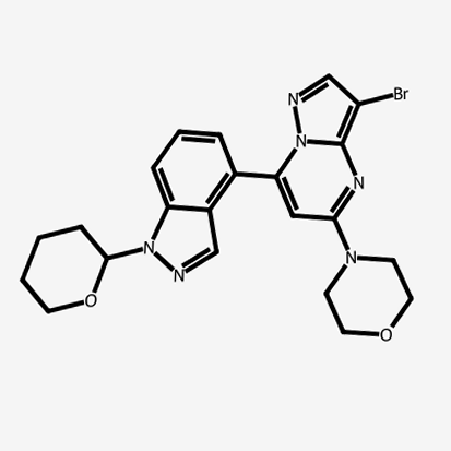 Brc1cnn2c(-c3cccc4c3cnn4C3CCCCO3)cc(N3CCOCC3)nc12